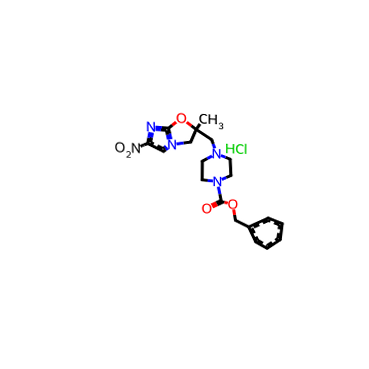 CC1(CN2CCN(C(=O)OCc3ccccc3)CC2)Cn2cc([N+](=O)[O-])nc2O1.Cl